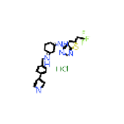 Cl.FC(F)(F)Cc1cc2c(N[C@@H]3CCC[C@H](NCc4ccc(-c5ccncc5)cc4)C3)ncnc2s1